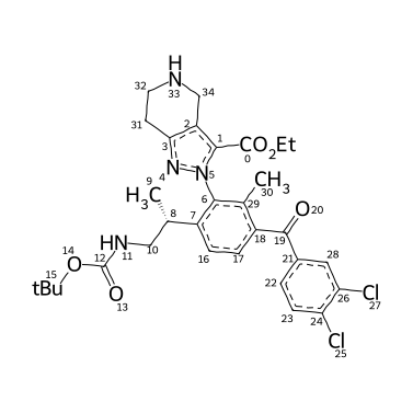 CCOC(=O)c1c2c(nn1-c1c([C@@H](C)CNC(=O)OC(C)(C)C)ccc(C(=O)c3ccc(Cl)c(Cl)c3)c1C)CCNC2